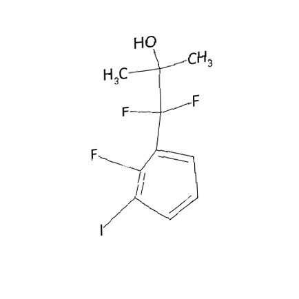 CC(C)(O)C(F)(F)c1cccc(I)c1F